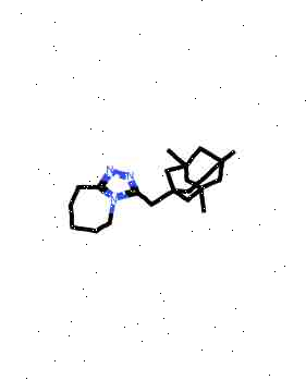 CC12CC3(C)CC(C)(C1)CC(Cc1nnc4n1CCCCC4)(C2)C3